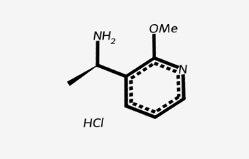 COc1ncccc1[C@@H](C)N.Cl